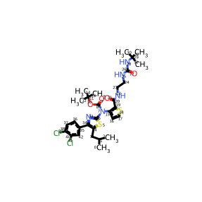 CC(C)Cc1sc(N(C(=O)OC(C)(C)C)c2ccsc2C(=O)NCCNC(=O)NC(C)(C)C)nc1-c1ccc(Cl)c(Cl)c1